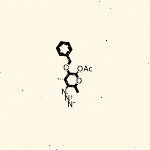 CC(=O)O[C@H]1OC(C)[C@@H](N=[N+]=[N-])[C@H](C)C1OCc1ccccc1